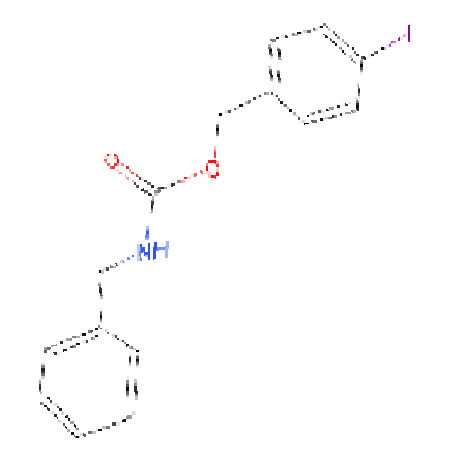 O=C(NCc1ccccc1)OCc1ccc(I)cc1